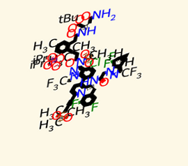 Cc1cc(CC(=O)N[C@@H](CC(N)=O)C(=O)OC(C)(C)C)c(C(C)(C)CC(=O)N(c2nn(CC(F)(F)F)c3c(-c4ccc(C#CC(C)(C)S(C)(=O)=O)nc4[C@H](Cc4cc(F)cc(F)c4)NC(=O)Cn4nc(C(F)(F)F)c5c4C(F)(F)[C@@H]4C[C@H]54)ccc(Cl)c23)S(C)(=O)=O)c(OP(=O)(OC(C)C)OC(C)C)c1